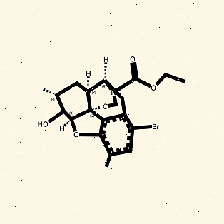 CCOC(=O)N1CC[C@]23c4c5c(Br)cc(C)c4O[C@H]2C(O)[C@H](C)C[C@H]3[C@H]1C5